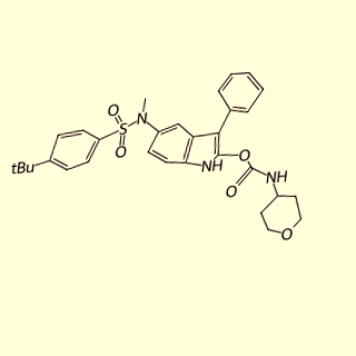 CN(c1ccc2[nH]c(OC(=O)NC3CCOCC3)c(-c3ccccc3)c2c1)S(=O)(=O)c1ccc(C(C)(C)C)cc1